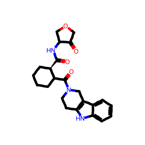 O=C1COCC1NC(=O)[C@@H]1CCCCC1C(=O)N1CCc2[nH]c3ccccc3c2C1